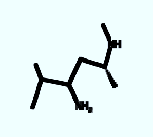 CN[C@H](C)CC(N)C(C)C